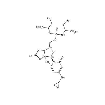 CCOC(=O)C(CC(C)C)NP(=O)(NC(CC(C)C)C(=O)OCC)OC[C@H]1O[C@@H](n2ccc(NC3CC3)nc2=O)[C@@]2(C)OC(=O)OC12